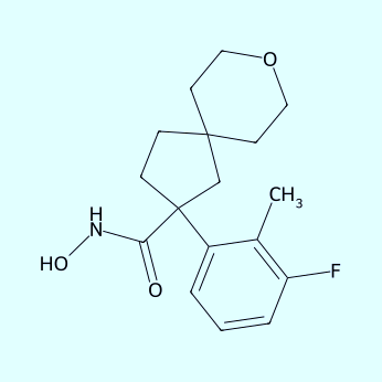 Cc1c(F)cccc1C1(C(=O)NO)CCC2(CCOCC2)C1